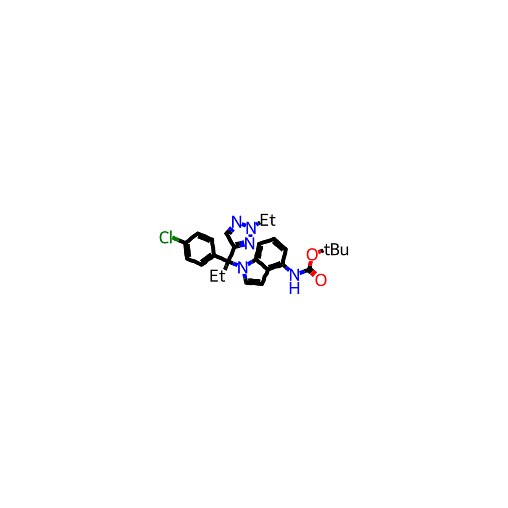 CCn1ncc(C(CC)(c2ccc(Cl)cc2)n2ccc3c(NC(=O)OC(C)(C)C)cccc32)n1